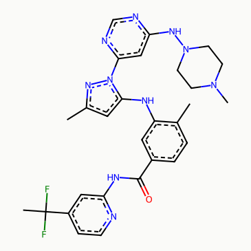 Cc1cc(Nc2cc(C(=O)Nc3cc(C(C)(F)F)ccn3)ccc2C)n(-c2cc(NN3CCN(C)CC3)ncn2)n1